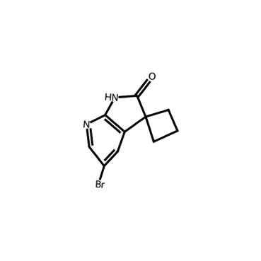 O=C1Nc2ncc(Br)cc2C12CCC2